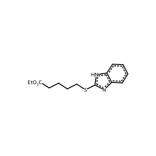 CCOC(=O)CCCCSc1nc2ccccc2[nH]1